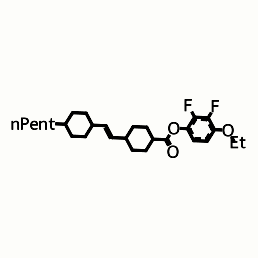 CCCCCC1CCC(C=CC2CCC(C(=O)Oc3ccc(OCC)c(F)c3F)CC2)CC1